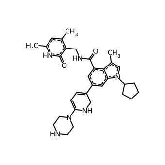 Cc1cc(C)c(CNC(=O)c2cc(C3=CC=C(N4CCNCC4)NC3)cc3c2c(C)cn3C2CCCC2)c(=O)[nH]1